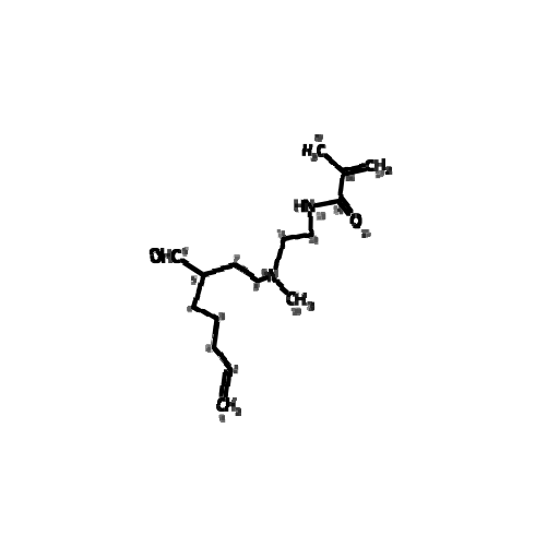 C=CCCCC(C=O)CCN(C)CCNC(=O)C(=C)C